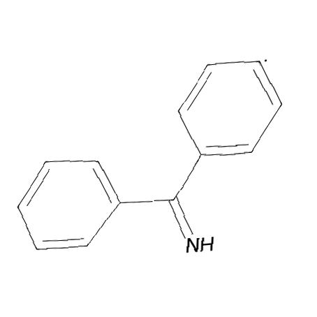 N=C(c1cc[c]cc1)c1ccccc1